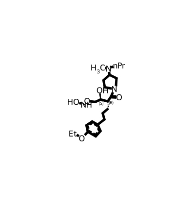 CCCN(C)C1CCN(C(=O)[C@H](CCCc2ccc(OCC)cc2)[C@H](O)CONO)CC1